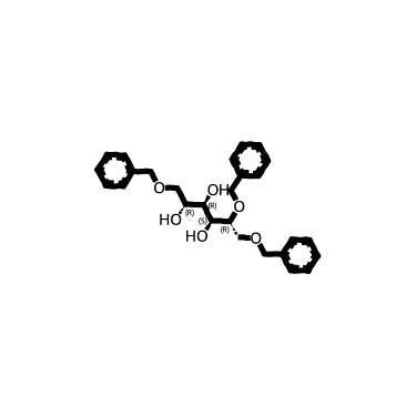 O[C@@H]([C@H](O)[C@@H](COCc1ccccc1)OCc1ccccc1)[C@H](O)COCc1ccccc1